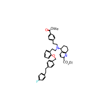 CCOC(=O)c1ccc2c(n1)CCCC2N(CCc1ccc(C(=O)OC)cc1)CCc1ccccc1OCc1ccc(CCc2ccc(F)cc2)cc1